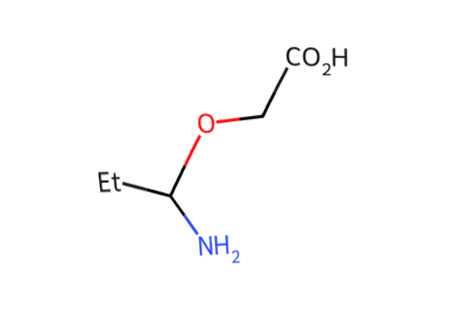 CCC(N)OCC(=O)O